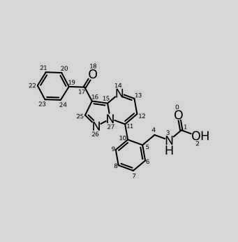 O=C(O)NCc1ccccc1-c1ccnc2c(C(=O)c3ccccc3)cnn12